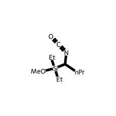 CCCC(N=C=O)[Si](CC)(CC)OC